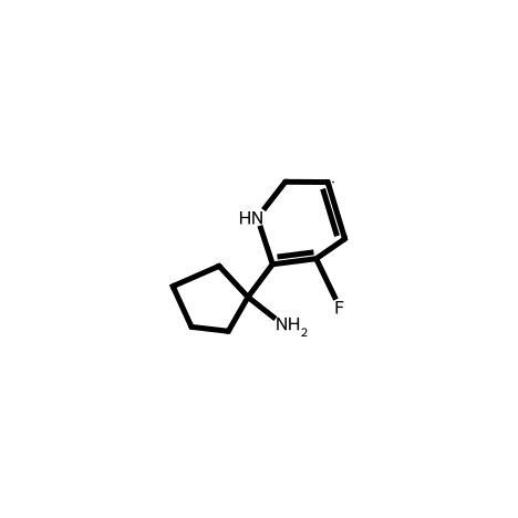 NC1(C2=C(F)C=[C]CN2)CCCC1